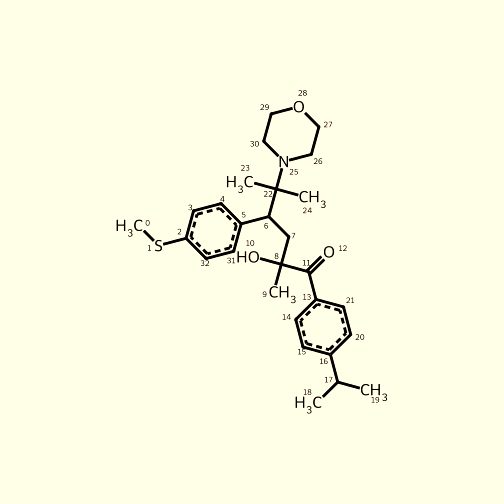 CSc1ccc(C(CC(C)(O)C(=O)c2ccc(C(C)C)cc2)C(C)(C)N2CCOCC2)cc1